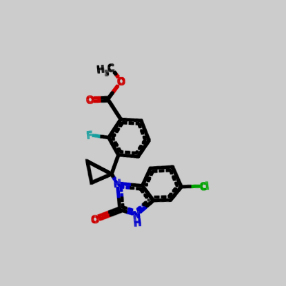 COC(=O)c1cccc(C2(n3c(=O)[nH]c4cc(Cl)ccc43)CC2)c1F